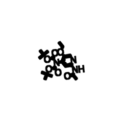 CCOc1cnc(NC(C)=O)cc1N(C(=O)OC(C)(C)C)C(=O)OC(C)(C)C